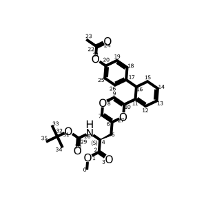 COC(=O)[C@H](CC1=COC=C(C2=CC=CCC2c2ccc(OC(C)=O)cc2)O1)NC(=O)OC(C)(C)C